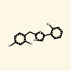 Clc1ccc(Cc2nc(-c3ccccc3Br)c[nH]2)c(Cl)c1